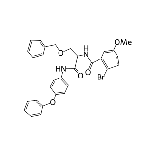 COc1ccc(Br)c(C(=O)NC(COCc2ccccc2)C(=O)Nc2ccc(Oc3ccccc3)cc2)c1